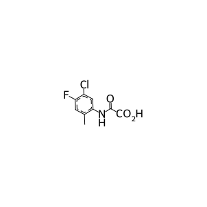 Cc1cc(F)c(Cl)cc1NC(=O)C(=O)O